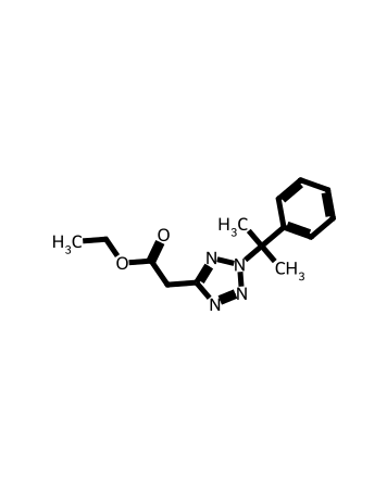 CCOC(=O)Cc1nnn(C(C)(C)c2ccccc2)n1